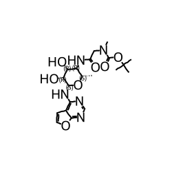 C[C@@H]1O[C@H](Nc2ncnc3occc23)[C@H](O)[C@H](O)[C@H]1NC(=O)CN(C)C(=O)OC(C)(C)C